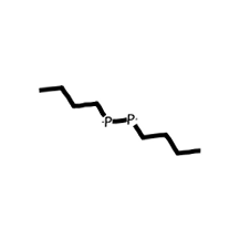 CCCC[P][P]CCCC